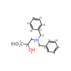 CCOC(=O)C(O)CN(Cc1ccccc1)Cc1ccccc1